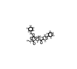 CCOC(=O)C(CNC(=O)C1CCN(c2ccncc2)CC1)NC(=O)OCc1ccccc1